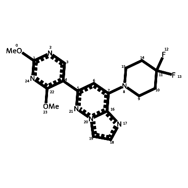 COc1ncc(-c2cc(N3CCC(F)(F)CC3)c3nccn3n2)c(OC)n1